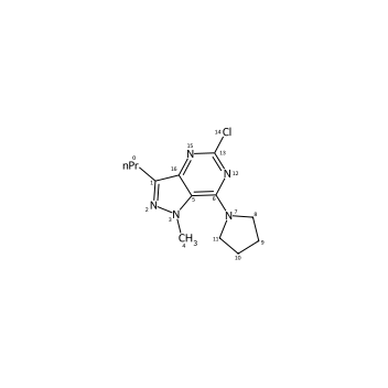 CCCc1nn(C)c2c(N3CCCC3)nc(Cl)nc12